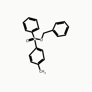 Cc1ccc(P(=O)(OCc2ccccc2)c2ccccc2)cc1